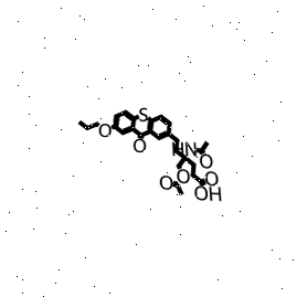 CCCOc1ccc2sc3ccc(CCC(CCC(=O)O)(COC(C)=O)NC(C)=O)cc3c(=O)c2c1